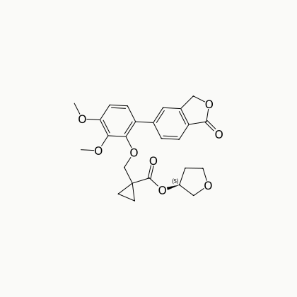 COc1ccc(-c2ccc3c(c2)COC3=O)c(OCC2(C(=O)O[C@H]3CCOC3)CC2)c1OC